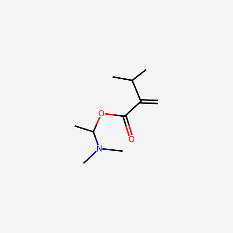 C=C(C(=O)OC(C)N(C)C)C(C)C